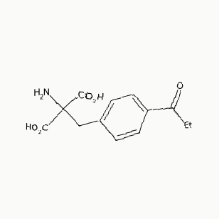 CCC(=O)c1ccc(CC(N)(C(=O)O)C(=O)O)cc1